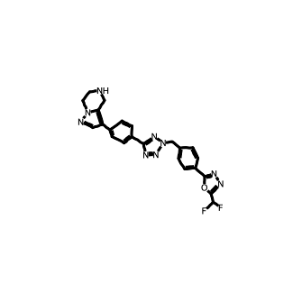 FC(F)c1nnc(-c2ccc(Cn3nnc(-c4ccc(-c5cnn6c5CNCC6)cc4)n3)cc2)o1